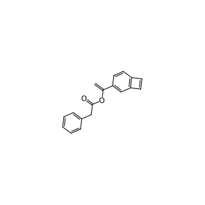 C=C(OC(=O)Cc1ccccc1)c1ccc2c(c1)C=C2